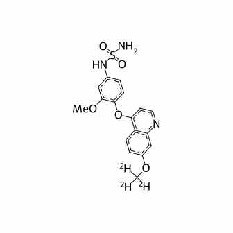 [2H]C([2H])([2H])Oc1ccc2c(Oc3ccc(NS(N)(=O)=O)cc3OC)ccnc2c1